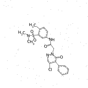 Cc1ccc(NC(=O)Cn2ncc(Cl)c(-c3ccccc3)c2=O)cc1S(=O)(=O)N(C)C